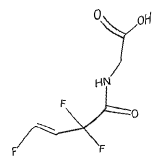 O=C(O)CNC(=O)C(F)(F)C=CF